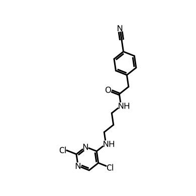 N#Cc1ccc(CC(=O)NCCCNc2nc(Cl)ncc2Cl)cc1